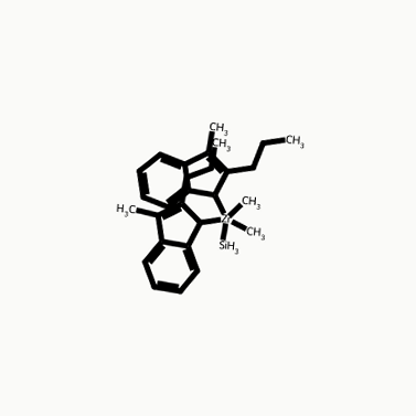 CCCC1=C(C)c2ccccc2[CH]1[Zr]([CH3])([CH3])([SiH3])[CH]1C(CCC)=C(C)c2ccccc21